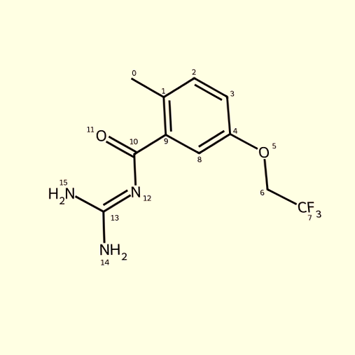 Cc1ccc(OCC(F)(F)F)cc1C(=O)N=C(N)N